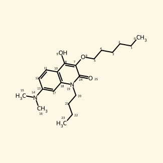 CCCCCCOc1c(O)c2ccc(N(C)C)cc2n(CCCC)c1=O